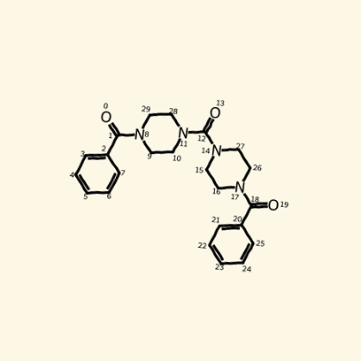 O=C(c1ccccc1)N1CCN(C(=O)N2CCN(C(=O)c3ccccc3)CC2)CC1